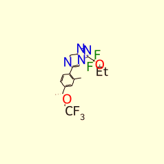 CCOC(F)(F)c1nnc2cnc(-c3ccc([C@@H](C)OCC(F)(F)F)cc3C)cn12